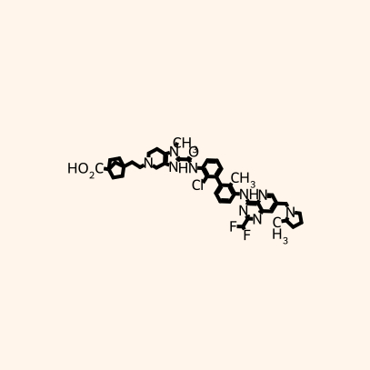 Cc1c(Nc2nc(C(F)F)nc3cc(CN4CCCC4C)cnc23)cccc1-c1cccc(NC(=O)c2nc3c(n2C)CCN(CCC24CCC(C(=O)O)(CC2)C4)C3)c1Cl